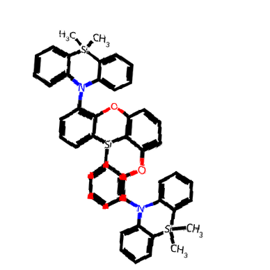 C[Si]1(C)c2ccccc2N(c2cccc3c2Oc2cccc4c2[Si]3(c2ccccc2)c2cccc(N3c5ccccc5[Si](C)(C)c5ccccc53)c2O4)c2ccccc21